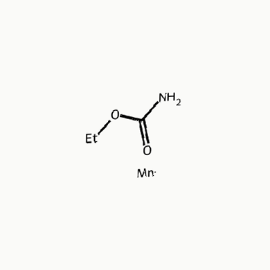 CCOC(N)=O.[Mn]